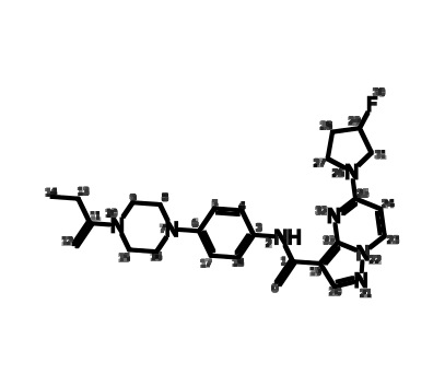 C=C(Nc1ccc(N2CCN(C(=C)CC)CC2)cc1)c1cnn2ccc(N3CCC(F)C3)nc12